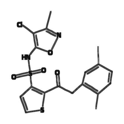 Cc1ccc(C)c(CC(=O)c2sccc2S(=O)(=O)Nc2onc(C)c2Cl)c1